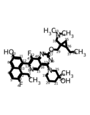 CCc1c(F)ccc2cc(O)cc(-c3ncc4c(N5CCC[C@@](C)(O)C5)nc(OCC5(CN(C)C)CC5CC)nc4c3F)c12